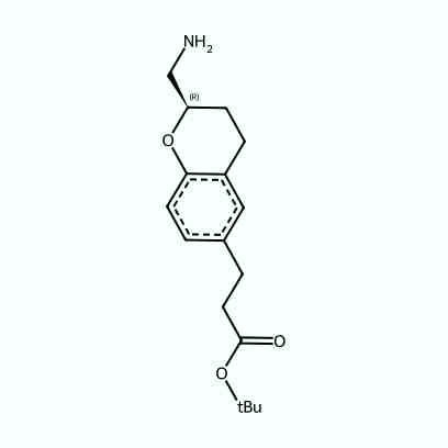 CC(C)(C)OC(=O)CCc1ccc2c(c1)CC[C@H](CN)O2